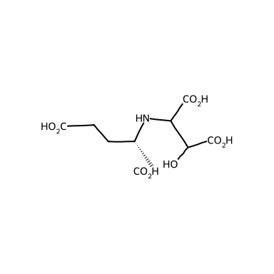 O=C(O)CC[C@H](NC(C(=O)O)C(O)C(=O)O)C(=O)O